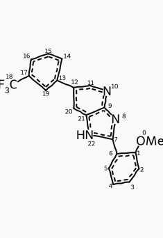 COc1ccccc1-c1nc2ncc(-c3cccc(C(F)(F)F)c3)cc2[nH]1